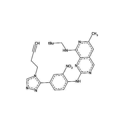 C#CCCn1cnnc1-c1ccc(Nc2ncc3cc(C)nc(NCC(C)(C)C)c3n2)c([N+](=O)[O-])c1